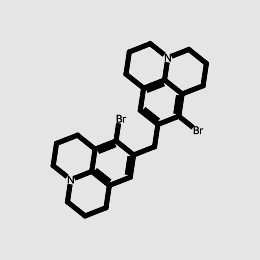 Brc1c(Cc2cc3c4c(c2Br)CCCN4CCC3)cc2c3c1CCCN3CCC2